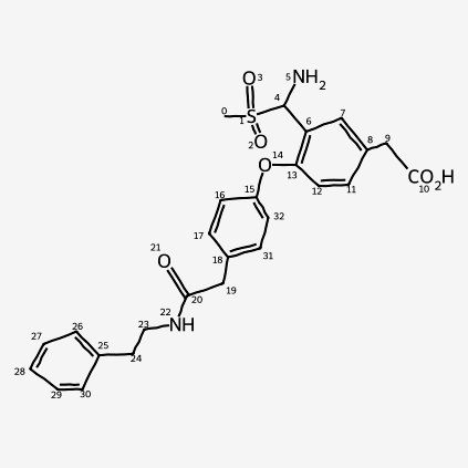 CS(=O)(=O)C(N)c1cc(CC(=O)O)ccc1Oc1ccc(CC(=O)NCCc2ccccc2)cc1